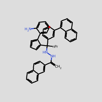 C=C(NNC(CCC)(C1=CC=C=C1c1ccccc1N)c1cccc(-c2cccc3ccccc23)c1)c1ccc2ccccc2c1